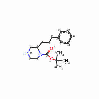 CC(C)(C)OC(=O)N1CCNCC1CCCc1ccccc1